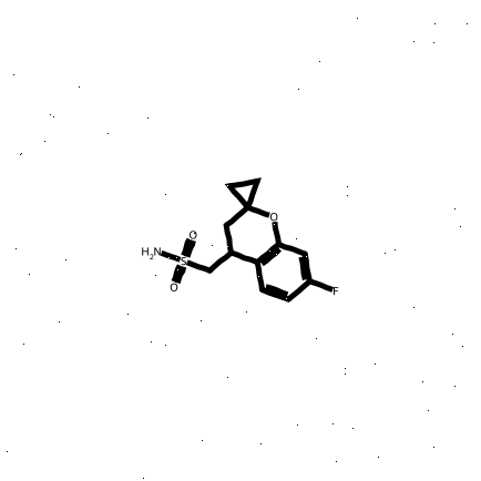 NS(=O)(=O)CC1CC2(CC2)Oc2cc(F)ccc21